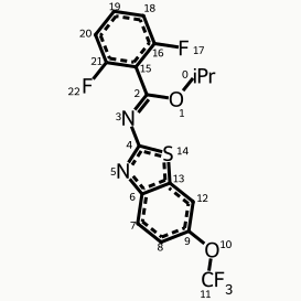 CC(C)OC(=Nc1nc2ccc(OC(F)(F)F)cc2s1)c1c(F)cccc1F